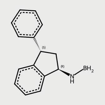 BN[C@@H]1C[C@@H](c2ccccc2)c2ccccc21